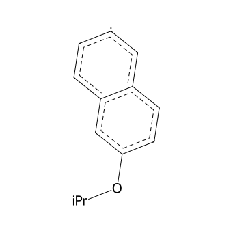 CC(C)Oc1ccc2c[c]ccc2c1